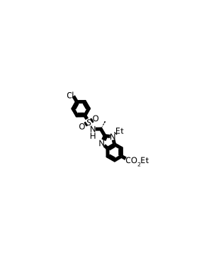 CCOC(=O)c1ccc2nc([C@@H](C)NS(=O)(=O)c3ccc(Cl)cc3)n(CC)c2c1